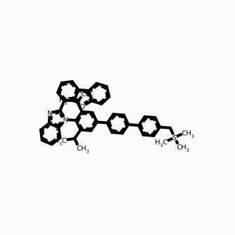 CC(C)c1cc(-c2ccc(-c3ccc(CS(C)(C)C)cc3)cc2)cc(C(C)C)c1-n1c(-c2cccc3c2oc2ccccc23)nc2ccccc21